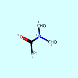 CCCC(=O)N(C=O)C=O